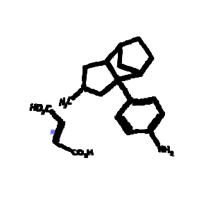 CN1CC2C3CCC(C3)C2(c2ccc(N)cc2)C1.O=C(O)/C=C/C(=O)O